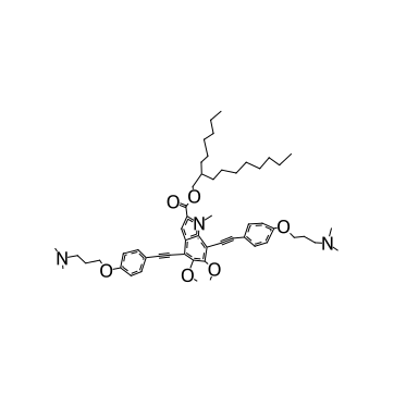 CCCCCCCCC(CCCCCC)COC(=O)c1cc2c(C#Cc3ccc(OCCCN(C)C)cc3)c(OC)c(OC)c(C#Cc3ccc(OCCCN(C)C)cc3)c2n1C